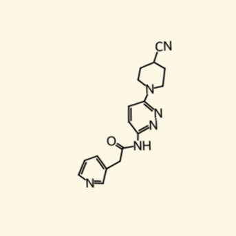 N#CC1CCN(c2ccc(NC(=O)Cc3cccnc3)nn2)CC1